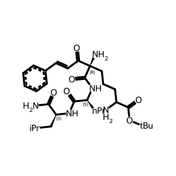 CCC[C@H](NC(=O)[C@@](N)(CCCC(N)C(=O)OC(C)(C)C)C(=O)C=Cc1ccccc1)C(=O)N[C@@H](CC(C)C)C(N)=O